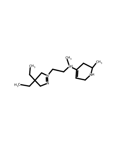 CCC1(CC)CN=[N+](CC[SH](C)C2=CCNC(C)C2)C1